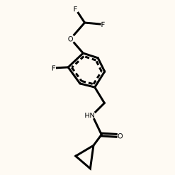 O=C(NCc1ccc(OC(F)F)c(F)c1)C1CC1